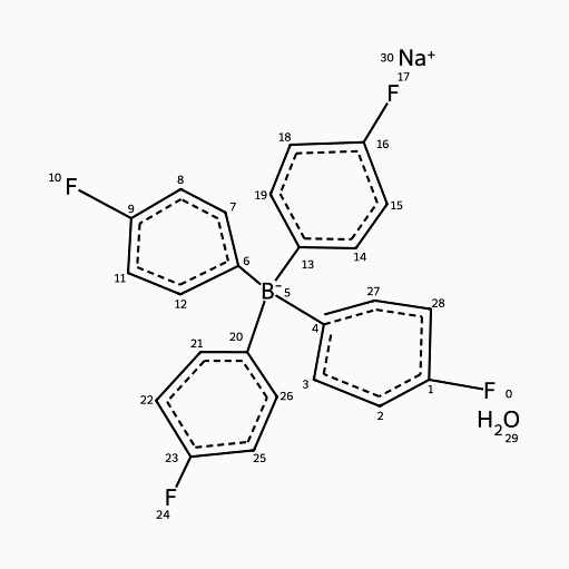 Fc1ccc([B-](c2ccc(F)cc2)(c2ccc(F)cc2)c2ccc(F)cc2)cc1.O.[Na+]